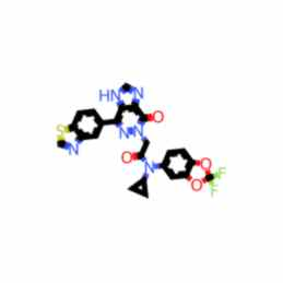 O=C(Cn1nc(-c2ccc3scnc3c2)c2[nH]cnc2c1=O)N(c1ccc2c(c1)OC(F)(F)O2)C1CC1